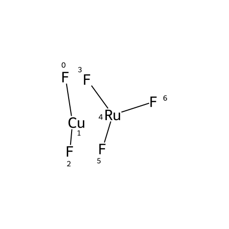 [F][Cu][F].[F][Ru]([F])[F]